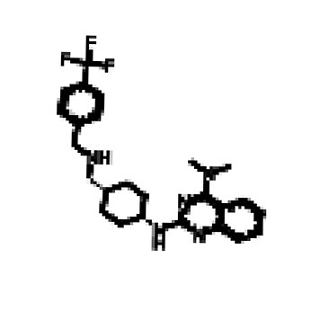 CN(C)c1nc(N[C@H]2CC[C@@H](CNCc3ccc(C(F)(F)F)cc3)CC2)nc2ccccc12